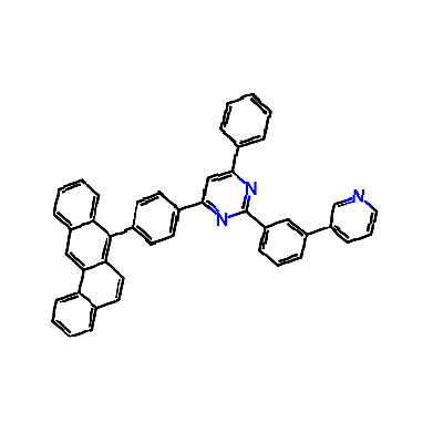 c1ccc(-c2cc(-c3ccc(-c4c5ccccc5cc5c4ccc4ccccc45)cc3)nc(-c3cccc(-c4cccnc4)c3)n2)cc1